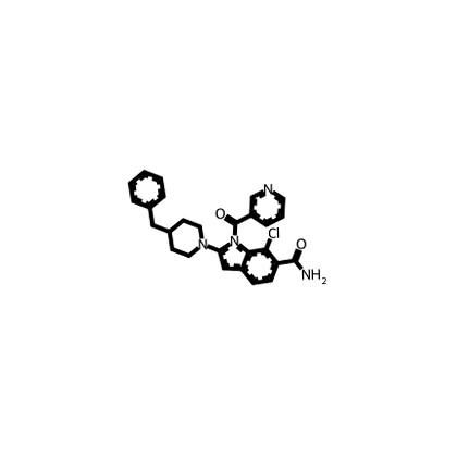 NC(=O)c1ccc2cc(N3CCC(Cc4ccccc4)CC3)n(C(=O)c3cccnc3)c2c1Cl